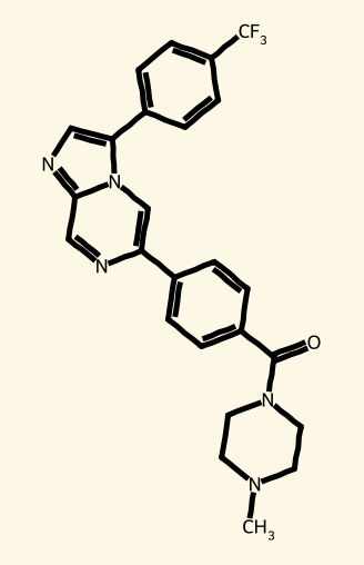 CN1CCN(C(=O)c2ccc(-c3cn4c(-c5ccc(C(F)(F)F)cc5)cnc4cn3)cc2)CC1